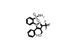 NS(=O)(=O)c1ccccc1-n1nc(C(F)(F)F)c(CO)c1-c1ccccc1